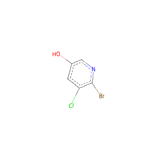 Oc1cnc(Br)c(Cl)c1